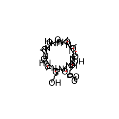 CC[C@H]1NC(=O)[C@H]([C@H](O)[C@H](C)CCCc2cccc(C(=O)OC)c2)N(C)C(=O)[C@@H](C(C)C)N(C)C(=O)[C@@H](CC(C)C)N(C)C(=O)[C@H](CC(C)C)N(C)C(=O)[C@H](C)NC(=O)[C@@H](C)NC(=O)[C@@H](CC(C)C)N(C)C(=O)[C@@H](C(C)C)NC(=O)[C@H](CC(C)C)N(C)C(=O)[C@@H](CSCCCCO)N(C)C1=O